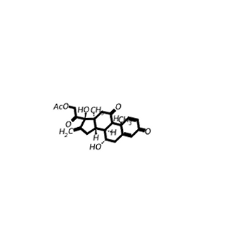 C=C1C[C@H]2[C@@H]3[C@@H](O)CC4=CC(=O)C=C[C@]4(C)[C@H]3C(=O)C[C@]2(C)[C@@]1(O)C(=O)COC(C)=O